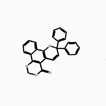 O=C1OCOc2c1c1c(c3ccccc23)OC(c2ccccc2)(c2ccccc2)C=C1